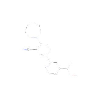 COC(=O)c1ccnc(-c2ccc(N3CCCCCC3)c(C#N)c2)c1